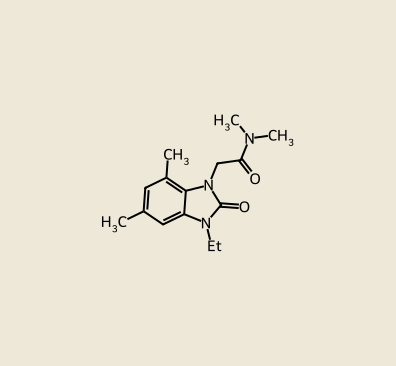 CCn1c(=O)n(CC(=O)N(C)C)c2c(C)cc(C)cc21